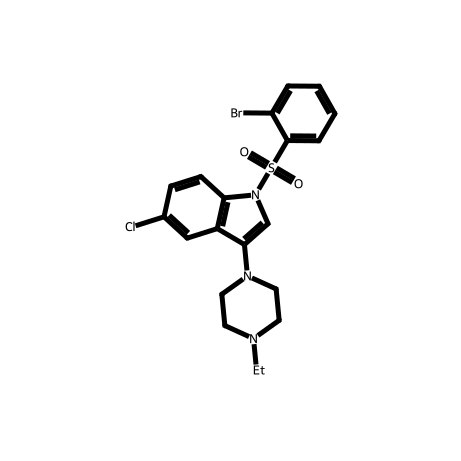 CCN1CCN(c2cn(S(=O)(=O)c3ccccc3Br)c3ccc(Cl)cc23)CC1